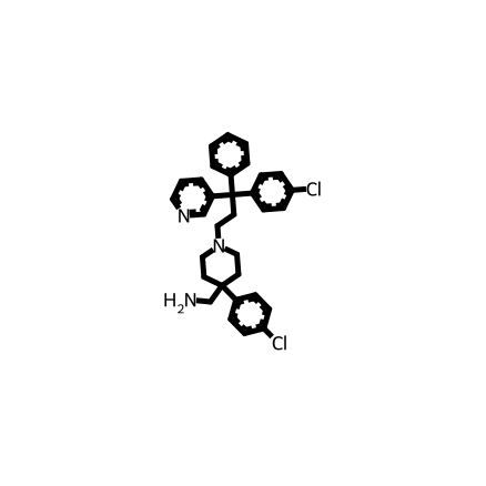 NCC1(c2ccc(Cl)cc2)CCN(CCC(c2ccccc2)(c2ccc(Cl)cc2)c2cccnc2)CC1